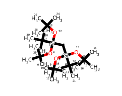 CC(C)(C)O[Si](C[Si](OC(C)(C)C)(OC(C)(C)C)C(C)(C)C)(OC(C)(C)C)C(C)(C)C